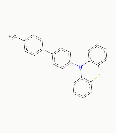 Cc1ccc(-c2ccc(N3c4ccccc4Sc4ccccc43)cc2)cc1